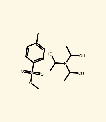 CC(O)N(C(C)O)C(C)O.COS(=O)(=O)c1ccc(C)cc1